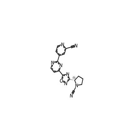 N#Cc1cc(-c2nccc(-c3nc([C@@H]4CCCN4C#N)no3)n2)ccn1